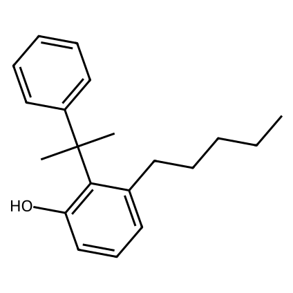 CCCCCc1cccc(O)c1C(C)(C)c1ccccc1